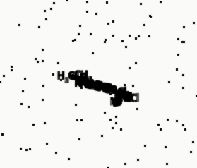 CC[C@H](C)n1ncn(-c2ccc(N3CCN(c4ccc(OC[C@@H]5CO[C@@](Cn6ccnc6)(c6ccc(Cl)cc6Cl)O5)cc4)CC3)cn2)c1=O